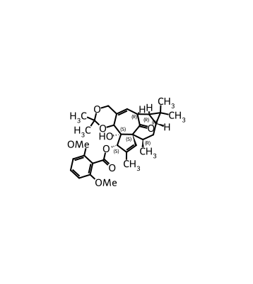 COc1cccc(OC)c1C(=O)O[C@H]1C(C)=C[C@]23C(=O)[C@@H](C=C4COC(C)(C)OC4[C@]12O)[C@H]1[C@@H](C[C@H]3C)C1(C)C